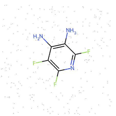 Nc1c(F)nc(F)c(F)c1N